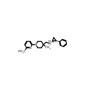 CC1(CN[C@@H]2C[C@H]2c2ccccc2)CCN(c2cccc(C(=O)O)n2)CC1